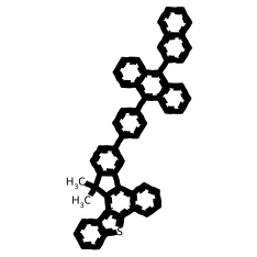 CC1(C)c2ccc(-c3ccc(-c4c5ccccc5c(-c5ccc6ccccc6c5)c5ccccc45)cc3)cc2-c2c1c1c3ccccc3sc1c1ccccc21